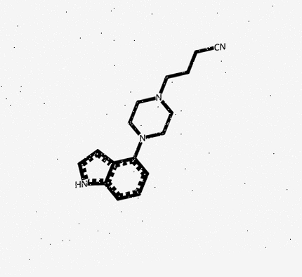 N#CCCCN1CCN(c2cccc3[nH]ccc23)CC1